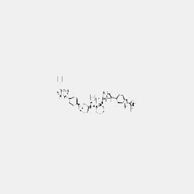 Cc1noc(-c2ccc(N3CCC[C@H](N[C@@H]4CCCC[C@H]4Nc4ncc(-c5ccc(OC(F)(F)F)cc5)o4)C3)cc2)n1